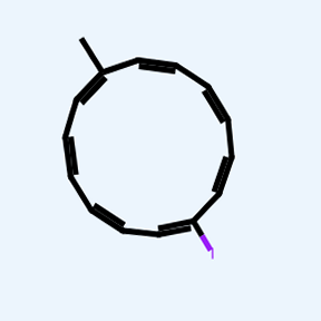 Cc1ccccccc(I)cccccc1